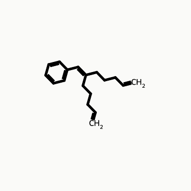 C=CCCCC(=Cc1ccccc1)CCCC=C